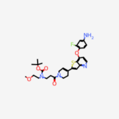 COCCN(CCC(=O)N1CC=C(c2cc3nccc(Oc4ccc(N)cc4F)c3s2)CC1)C(=O)OC(C)(C)C